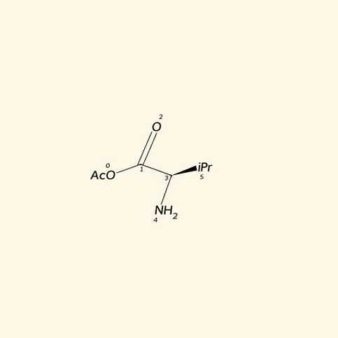 CC(=O)OC(=O)[C@H](N)C(C)C